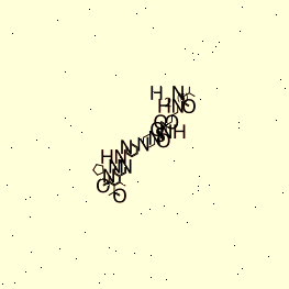 CC(=O)c1c(C)c2cnc(Nc3ccc(N4CCN(S(=O)(=O)NC(=O)OCCNC(=O)[C@@H](N)C(C)C)CC4)cn3)nc2n(C2CCCC2)c1=O